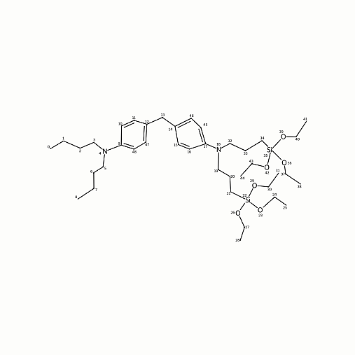 CCCCN(CCCC)c1ccc(Cc2ccc(N(CCC[Si](OCC)(OCC)OCC)CCC[Si](OCC)(OCC)OCC)cc2)cc1